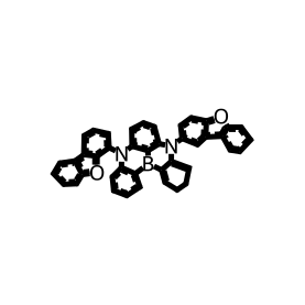 C1=C2B3c4ccccc4N(c4cccc5c4oc4ccccc45)c4cccc(c43)N(c3ccc4oc5ccccc5c4c3)C2=CCC1